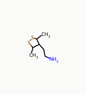 CC1SSC(C)C1CCN